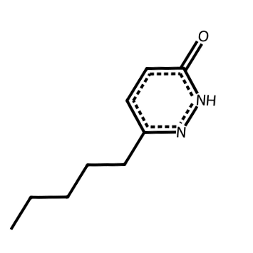 CCCCCc1ccc(=O)[nH]n1